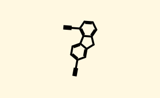 C#Cc1ccc2c(c1)Cc1cccc(C#C)c1-2